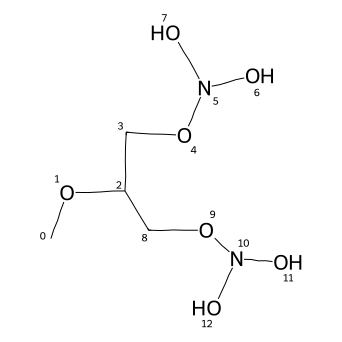 COC(CON(O)O)CON(O)O